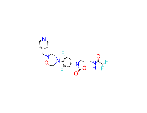 O=C(NC[C@H]1CN(c2cc(F)c(N3CCON(Cc4ccncc4)CC3)c(F)c2)C(=O)O1)C(F)F